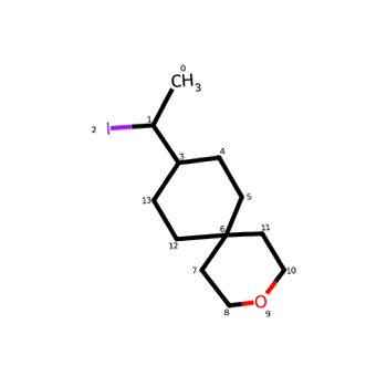 CC(I)C1CCC2(CCOCC2)CC1